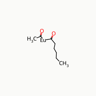 CCCCC[C](=O)[Eu][C](C)=O